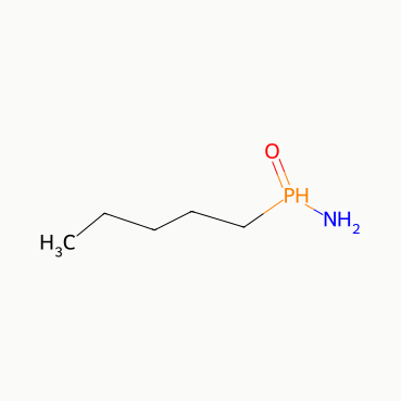 CCCCC[PH](N)=O